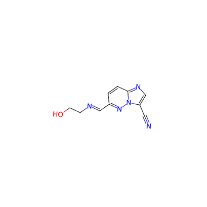 N#Cc1cnc2ccc(C=NCCO)nn12